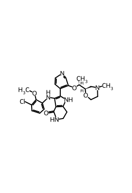 COc1c(Cl)cccc1Nc1c(-c2ccncc2O[C@H](C)[C@H]2CN(C)CCO2)[nH]c2c1C(=O)NCC2